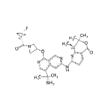 C[C@@H]1c2nc(Nc3cc4c(C(C)(C)N)cnc(OC5CN(C(=O)[C@@H]6C[C@@H]6F)C5)c4cn3)ccc2C(=O)OC1(C)C